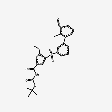 CSc1sc(C(=N)NC(=O)OC(C)(C)C)cc1S(=O)(=O)c1cccc(-c2cccc(C=O)c2C)c1